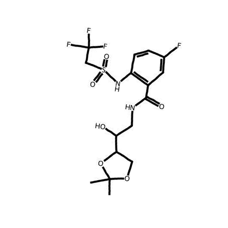 CC1(C)OCC(C(O)CNC(=O)c2cc(F)ccc2NS(=O)(=O)CC(F)(F)F)O1